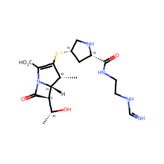 C[C@@H](O)[C@H]1C(=O)N2C(C(=O)O)=C(S[C@@H]3CN[C@H](C(=O)NCCNC=N)C3)[C@H](C)[C@H]12